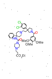 CCOC(=O)CCN1CCN(C(=O)NC2(c3ccccc3)CCN(CCC3(c4ccc(Cl)c(Cl)c4)CCN(C(=O)c4cc(OC)c(OC)c(OC)c4)C3)CC2)CC1